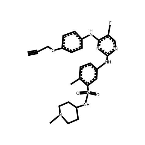 C#CCOc1ccc(Nc2nc(Nc3ccc(C)c(S(=O)(=O)NC4CCN(C)CC4)c3)ncc2F)cc1